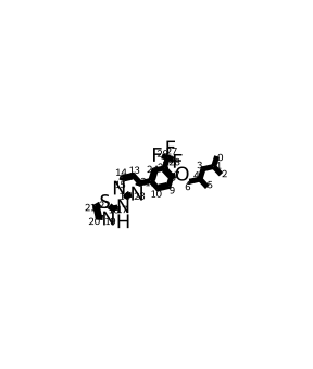 CC(C)CC(C)COc1ccc(-c2ccnc(Nc3nccs3)n2)cc1C(F)(F)F